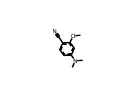 COc1cc(N(C)C)ccc1C#N